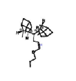 CCCO/C=C\CC([C@@H]1CC2CC([C@H]1C)C2(C)C)[C@@H]1CC2CC([C@H]1C)C2(C)C